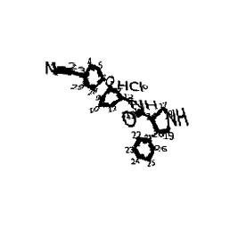 Cl.N#Cc1ccc(Oc2cccc(NC(=O)[C@H]3CNC[C@@H]3c3ccccc3)c2)cc1